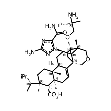 CC(C)[C@@H](C)[C@@]1(C)CC[C@]2(C)[C@H]3CC[C@@H]4[C@@]5(COC[C@@]4(C)[C@@H](OC[C@](C)(N)C(C)C)[C@H](n4nc(N)nc4C(N)=O)C5)C3=CC[C@@]2(C)[C@@H]1C(=O)O